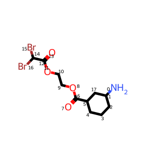 NC1CCCC(C(=O)OCCOC(=O)C(Br)Br)C1